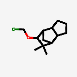 CC1(C)C2CC(C3CCCC32)C1OCCl